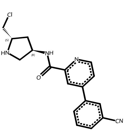 N#Cc1cccc(-c2ccnc(C(=O)N[C@H]3CN[C@H](CCl)C3)c2)c1